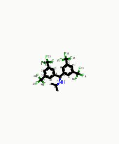 CC(C)NC(c1cc(C(F)(F)F)cc(C(F)(F)F)c1)c1cc(C(F)(F)F)cc(C(F)(F)F)c1